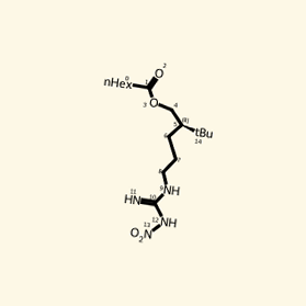 CCCCCCC(=O)OC[C@H](CCCNC(=N)N[N+](=O)[O-])C(C)(C)C